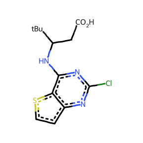 CC(C)(C)C(CC(=O)O)Nc1nc(Cl)nc2ccsc12